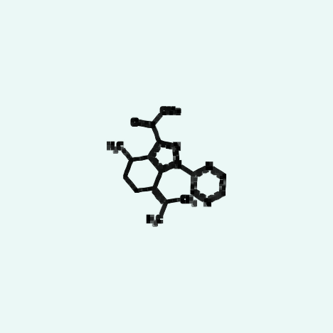 COC(=O)c1nn(-c2cnccn2)c2c1C(C)CCC2=C(C)C